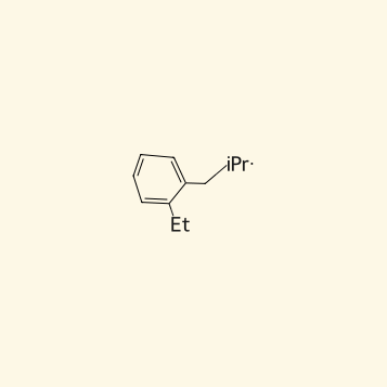 CCc1ccccc1C[C](C)C